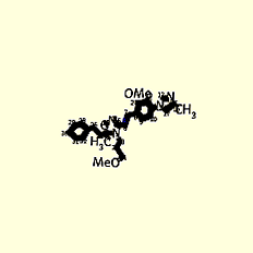 COCCCN1C(/C=C/c2ccc(-n3cnc(C)c3)c(OC)c2)=NOC1(C)CCc1ccccc1